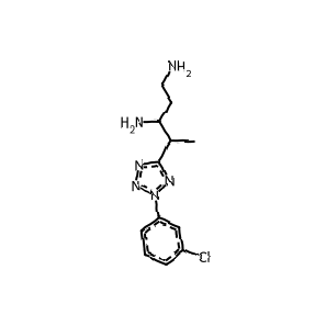 CC(c1nnn(-c2cccc(Cl)c2)n1)C(N)CCN